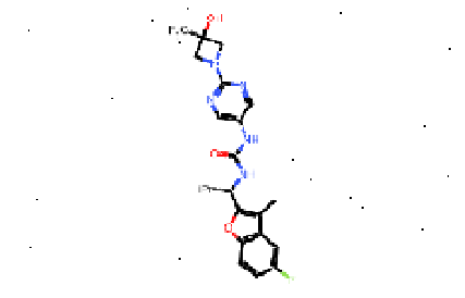 Cc1c(C(NC(=O)Nc2cnc(N3CC(O)(C(F)(F)F)C3)nc2)C(C)C)oc2ccc(F)cc12